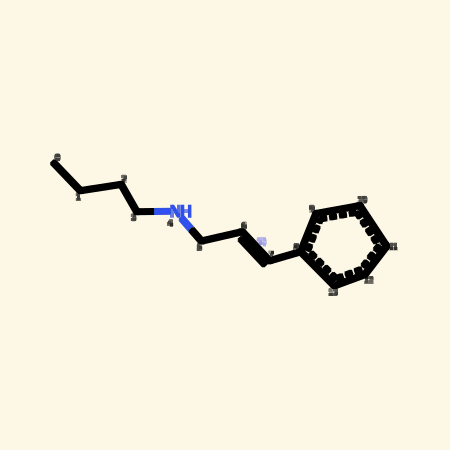 CCCCNC/C=C/c1ccccc1